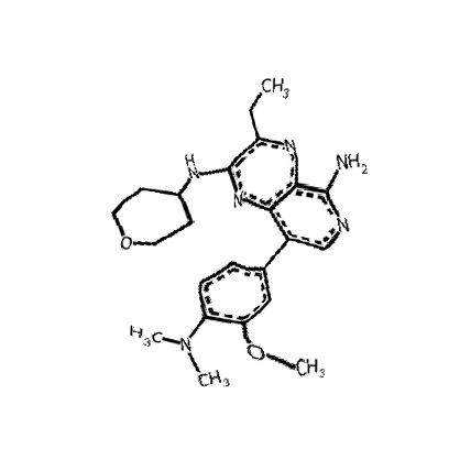 CCc1nc2c(N)ncc(-c3ccc(N(C)C)c(OC)c3)c2nc1NC1CCOCC1